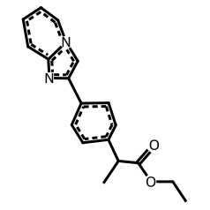 CCOC(=O)C(C)c1ccc(-c2cn3ccccc3n2)cc1